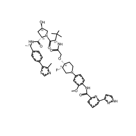 COc1cc(N2CC[C@@H](OCC(=O)N[C@H](C(=O)N3C[C@H](O)C[C@H]3C(=O)N[C@@H](C)c3ccc(-c4scnc4C)cc3)C(C)(C)C)[C@@H](F)C2)ccc1NC(=O)c1cccc(-c2cc[nH]n2)n1